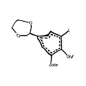 COc1cc(C2OCCO2)cc(I)c1O